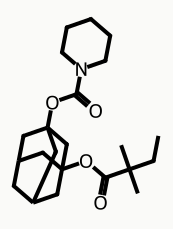 CCC(C)(C)C(=O)OC12CC3CC(CC(OC(=O)N4CCCCC4)(C3)C1)C2